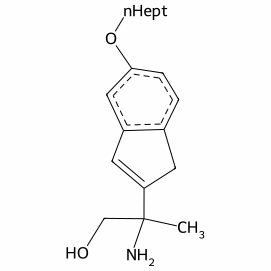 CCCCCCCOc1ccc2c(c1)C=C(C(C)(N)CO)C2